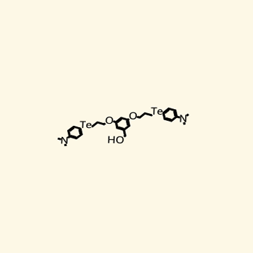 CN(C)c1ccc([Te]CCCOc2cc(CO)cc(OCCC[Te]c3ccc(N(C)C)cc3)c2)cc1